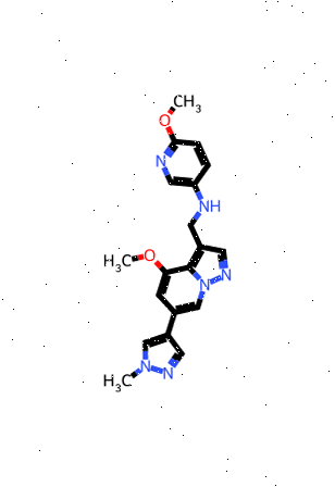 COc1ccc(NCc2cnn3cc(-c4cnn(C)c4)cc(OC)c23)cn1